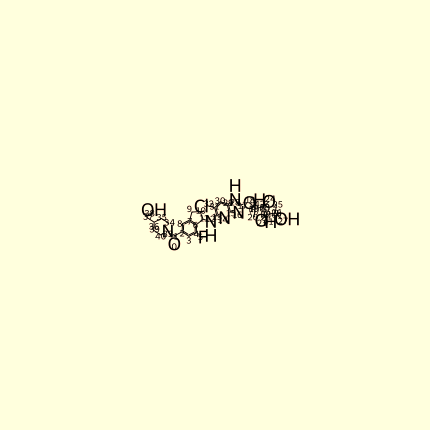 O=C(c1cc(F)c2c(c1)CCC2Nc1nc2nc(O[C@@H]3CO[C@H]4[C@@H]3OC[C@H]4O)[nH]c2cc1Cl)N1CCC(CO)CC1